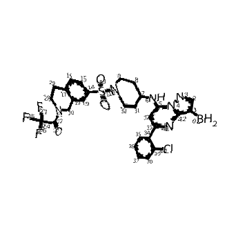 Bc1cnn2c(NC3CCN(S(=O)(=O)c4ccc5c(c4)CN(C(=O)C(F)(F)F)CC5)CC3)cc(-c3ccccc3Cl)nc12